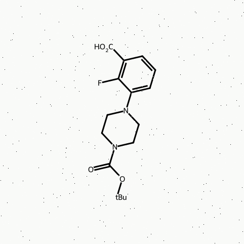 CC(C)(C)OC(=O)N1CCN(c2cccc(C(=O)O)c2F)CC1